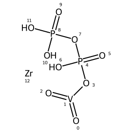 [O]=[V](=[O])[O]P(=O)(O)OP(=O)(O)O.[Zr]